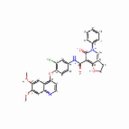 COc1cc2nccc(Oc3ccc(NC(=O)c4c5c(cn(-c6ccccc6)c4=O)CCO5)cc3F)c2cc1OC